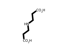 O=C(O)CCNCCC(=O)O